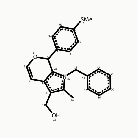 CSc1ccc(C2OC=Cc3c(CO)c(C)n(Cc4ccccc4)c32)cc1